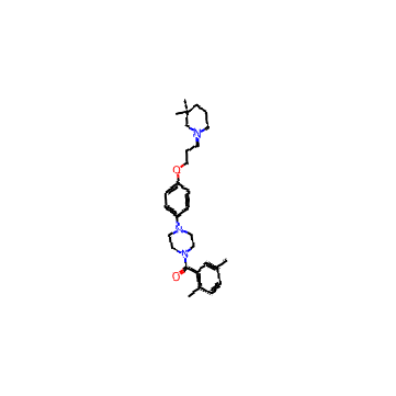 Cc1ccc(C)c(C(=O)N2CCN(c3ccc(OCCCN4CCCC(C)(C)C4)cc3)CC2)c1